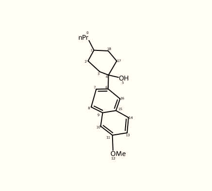 CCCC1CCC(O)(c2ccc3cc(OC)ccc3c2)CC1